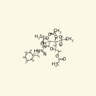 CC(=O)OC[C@H]1O[C@@H](NC(=S)NCc2ccccc2)[C@H](OC(C)=O)[C@@H](OC(C)=O)[C@@H]1OC(C)=O